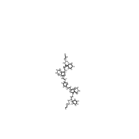 C=COCCC(/C=C/c1sc(/C=C/c2ccc(/C=C/c3sc(/C=N/N(CCOC=C)c4ccccc4)c4c3OCCO4)s2)c2c1OCCO2)c1ccccc1